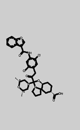 C[C@@H]1CN(C(O[C@H]2CC[C@H](C(=O)O)CC2)(C(=O)Cc2cc(Cl)c(NC(=O)c3coc4ccccc34)cc2Cl)N2CCCC2)C[C@H](C)O1